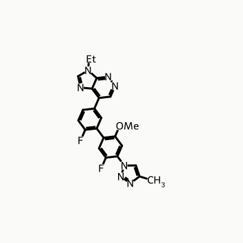 CCn1cnc2c(-c3ccc(F)c(-c4cc(F)c(-n5cc(C)nn5)cc4OC)c3)cnnc21